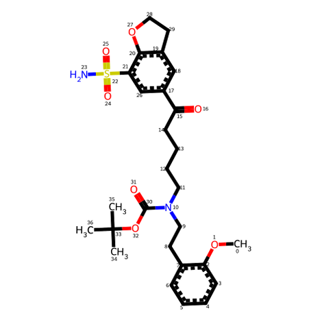 COc1ccccc1CCN(CCCCC(=O)c1cc2c(c(S(N)(=O)=O)c1)OCC2)C(=O)OC(C)(C)C